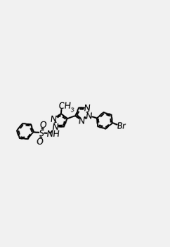 Cc1nn(NS(=O)(=O)c2ccccc2)cc1-c1cnn(-c2ccc(Br)cc2)n1